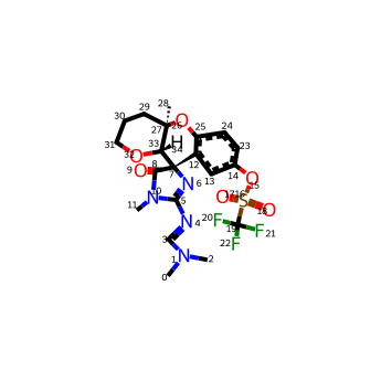 CN(C)C=NC1=N[C@@]2(C(=O)N1C)c1cc(OS(=O)(=O)C(F)(F)F)ccc1O[C@]1(C)CCCO[C@H]12